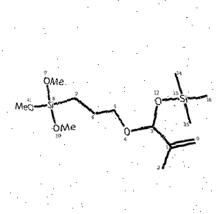 C=C(C)C(OCCC[Si](OC)(OC)OC)O[Si](C)(C)C